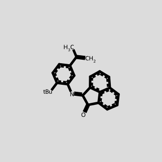 C=C(C)c1ccc(C(C)(C)C)c(/N=C2/C(=O)c3cccc4cccc2c34)c1